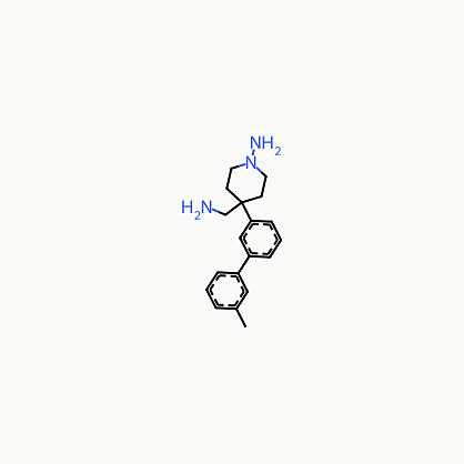 Cc1cccc(-c2cccc(C3(CN)CCN(N)CC3)c2)c1